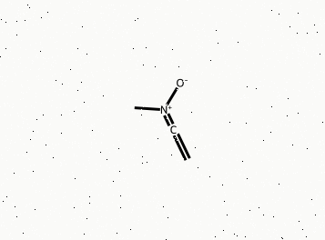 C=C=[N+](C)[O-]